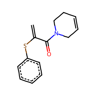 C=C(Sc1ccccc1)C(=O)N1CC=CCC1